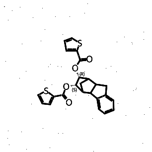 O=C(O[C@@H]1C2CC(C3c4ccccc4CC32)[C@@H]1OC(=O)c1cccs1)c1cccs1